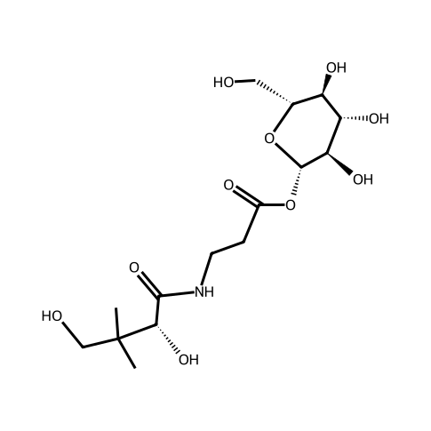 CC(C)(CO)[C@@H](O)C(=O)NCCC(=O)O[C@@H]1O[C@H](CO)[C@@H](O)[C@H](O)[C@H]1O